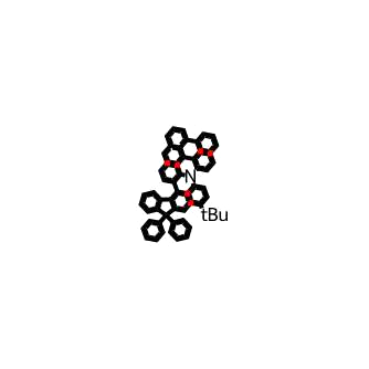 CC(C)(C)c1ccc(N(c2ccccc2-c2cccc3c2-c2ccccc2C3(c2ccccc2)c2ccccc2)c2ccccc2-c2cccc3cccc(-c4ccccc4)c23)cc1